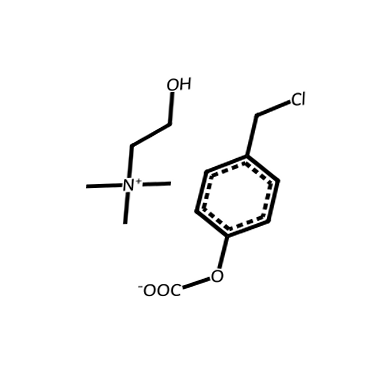 C[N+](C)(C)CCO.O=C([O-])Oc1ccc(CCl)cc1